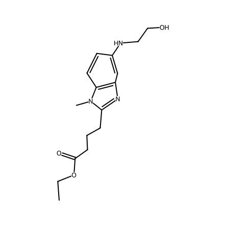 CCOC(=O)CCCc1nc2cc(NCCO)ccc2n1C